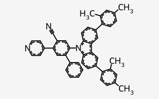 Cc1ccc(-c2ccc3c(c2)c2cc(-c4ccc(C)cc4C)ccc2n3-c2cc(C#N)c(-c3ccncc3)cc2-c2ccccc2)c(C)c1